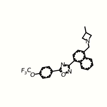 CC1CN(Cc2ccc(-c3noc(-c4ccc(OC(F)(F)F)cc4)n3)c3ccccc23)C1